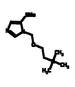 CSc1cncn1COCC[Si](C)(C)C